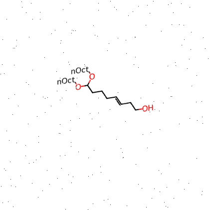 CCCCCCCCOC(CCC/C=C/CCO)OCCCCCCCC